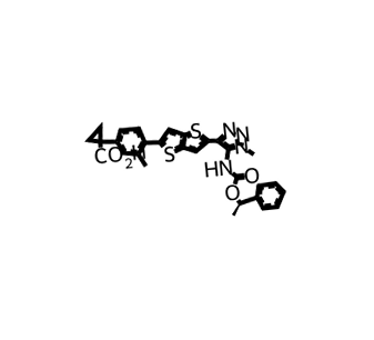 Cc1cc(C2(C(=O)O)CC2)ccc1-c1cc2sc(-c3nnn(C)c3NC(=O)O[C@H](C)c3ccccc3)cc2s1